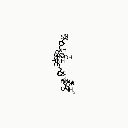 Cc1ncsc1-c1ccc([C@H](C)NC(=O)[C@@H]2C[C@H](O)CN2C(=O)[C@@H](NC(=O)CCCc2cccc(OC[C@H](CCC(N)=O)NC(=O)OC(C)(C)C)c2Cl)C(C)(C)C)cc1